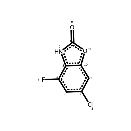 O=c1[nH]c2c(F)cc(Cl)cc2o1